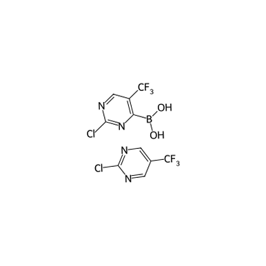 FC(F)(F)c1cnc(Cl)nc1.OB(O)c1nc(Cl)ncc1C(F)(F)F